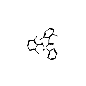 Cc1cccc(C)c1C(=O)P(=O)(C(=O)c1c(C)cccc1C)c1ccccc1